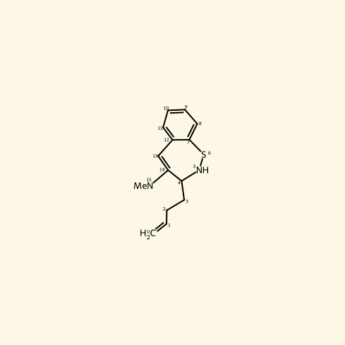 C=CCCC1NSc2ccccc2C=C1NC